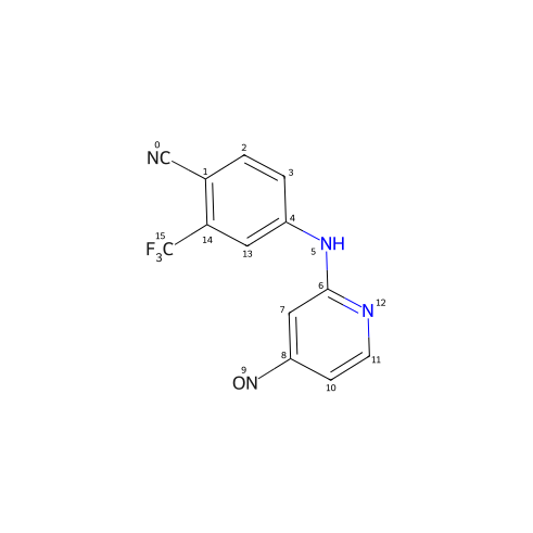 N#Cc1ccc(Nc2cc(N=O)ccn2)cc1C(F)(F)F